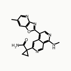 CNc1ncc(-c2nc3ncc(C)cc3o2)c2cc(C3(C(N)=O)CC3)ncc12